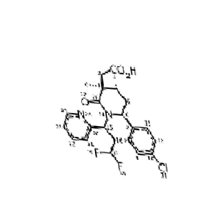 C[C@]1(CC(=O)O)CC[C@@H](c2ccc(Cl)cc2)N([C@@H](CC(F)F)c2ccccn2)C1=O